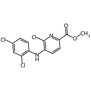 COC(=O)c1ccc(Nc2ccc(Cl)cc2Cl)c(Cl)n1